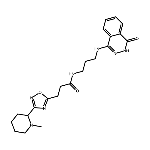 CN1CCCCC1c1noc(CCC(=O)NCCCNc2n[nH]c(=O)c3ccccc23)n1